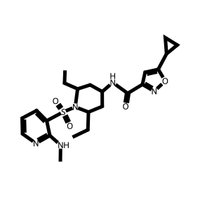 CCC1CC(NC(=O)c2cc(C3CC3)on2)CC(CC)N1S(=O)(=O)c1cccnc1NC